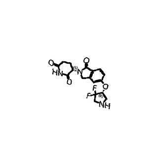 O=C1CC[C@H](N2Cc3cc(O[C@@H]4CNCC4(F)F)ccc3C2=O)C(=O)N1